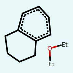 CCOCC.c1ccc2c(c1)CCCC2